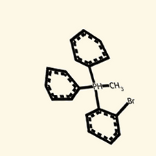 C[PH](c1ccccc1)(c1ccccc1)c1ccccc1Br